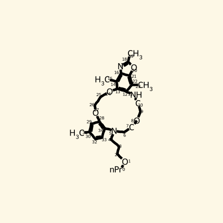 CCCOCCCN1CCOCCNc2c(c(C)c3nc(C)oc3c2C)OCCOc2cc(C)ccc21